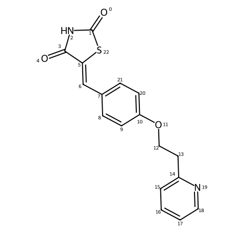 O=C1NC(=O)C(=Cc2ccc(OCCc3ccccn3)cc2)S1